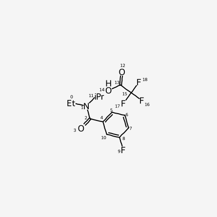 CCN(C(=O)c1cccc(F)c1)C(C)C.O=C(O)C(F)(F)F